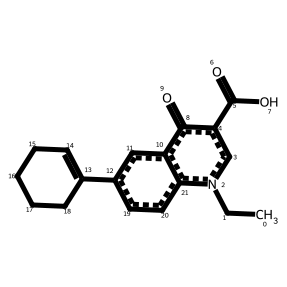 CCn1cc(C(=O)O)c(=O)c2cc(C3=CCCCC3)ccc21